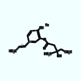 O=C(O)/C=C/c1ccc(O)c(OC(=O)CC(O)(CC(=O)O)C(=O)O)c1.[Fe]